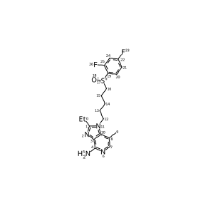 CCc1nc2c(N)ncc(C)c2n1CCCCC[S+]([O-])c1ccc(F)cc1F